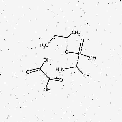 CCC(C)OP(=O)(O)C(C)N.O=C(O)C(=O)O